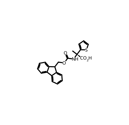 C[C@](NC(=O)OCC1c2ccccc2-c2ccccc21)(C(=O)O)c1cccs1